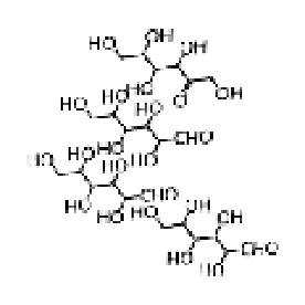 O=C(CO)C(O)C(O)C(O)CO.O=CC(O)C(O)C(O)C(O)CO.O=CC(O)C(O)C(O)C(O)CO.O=CC(O)C(O)C(O)C(O)CO